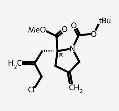 C=C(CCl)C[C@@]1(C(=O)OC)CC(=C)CN1C(=O)OC(C)(C)C